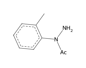 CC(=O)N(N)c1ccccc1C